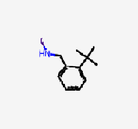 CC(C)(C)c1ccccc1CNI